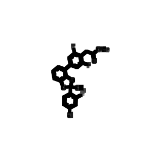 COC(=O)Cc1c(F)cc(-c2cccc3c2OC(C)(c2ccc(Cl)cc2F)O3)cc1F